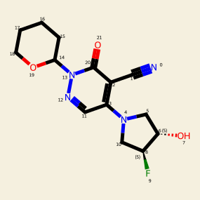 N#Cc1c(N2C[C@H](O)[C@@H](F)C2)cnn(C2CCCCO2)c1=O